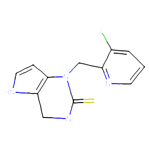 S=C1NCc2[nH]ccc2N1Cc1ncccc1Cl